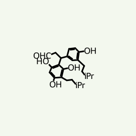 CC(C)CCc1cc(C(CC=O)c2c(O)cc(O)c(CCC(C)C)c2O)ccc1O